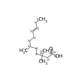 CC/C=C/CCC(C)CCC(C)(C)CC(=O)O